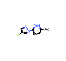 CC(=O)c1ccc(-n2cc(F)cn2)nn1